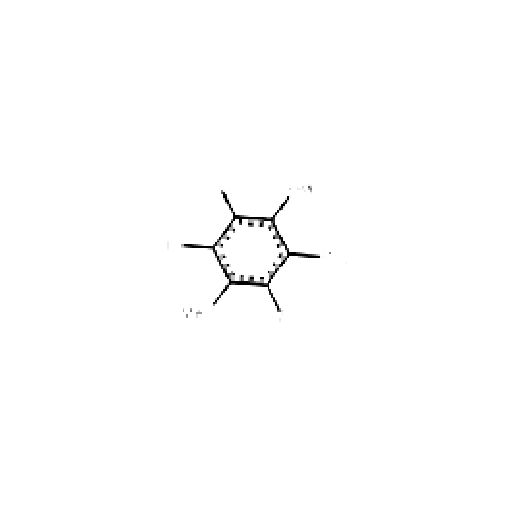 COc1c(C)c(C)c(OC)c(O)c1C